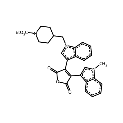 CCOC(=O)N1CCC(Cn2cc(C3=C(c4cn(C)c5ccccc45)C(=O)OC3=O)c3ccccc32)CC1